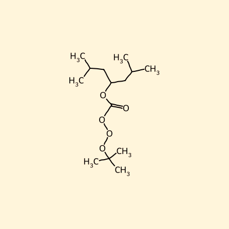 CC(C)CC(CC(C)C)OC(=O)OOOC(C)(C)C